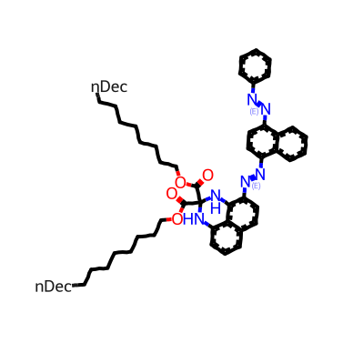 CCCCCCCCCCCCCCCCCCOC(=O)C1(C(=O)OCCCCCCCCCCCCCCCCCC)Nc2cccc3ccc(/N=N/c4ccc(/N=N/c5ccccc5)c5ccccc45)c(c23)N1